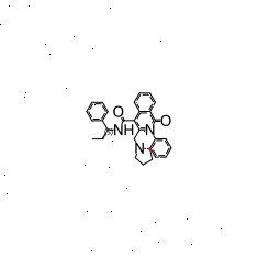 CC[C@H](NC(=O)c1c(CN2CCCC2)n(-c2ccccc2)c(=O)c2ccccc12)c1ccccc1